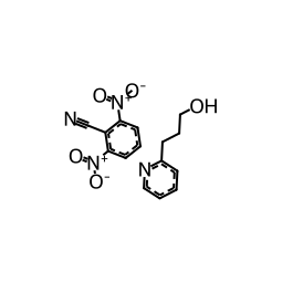 N#Cc1c([N+](=O)[O-])cccc1[N+](=O)[O-].OCCCc1ccccn1